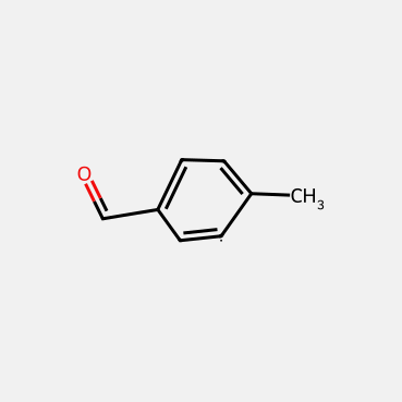 Cc1[c]cc(C=O)cc1